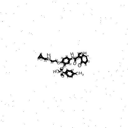 Cc1ccc(S(=O)(=O)O)cc1.O=C(Nc1ccc(OCCNCC2CC2)c(F)c1)c1c[nH]c2c1C(=O)CCC2